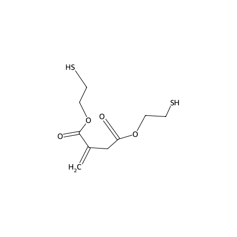 C=C(CC(=O)OCCS)C(=O)OCCS